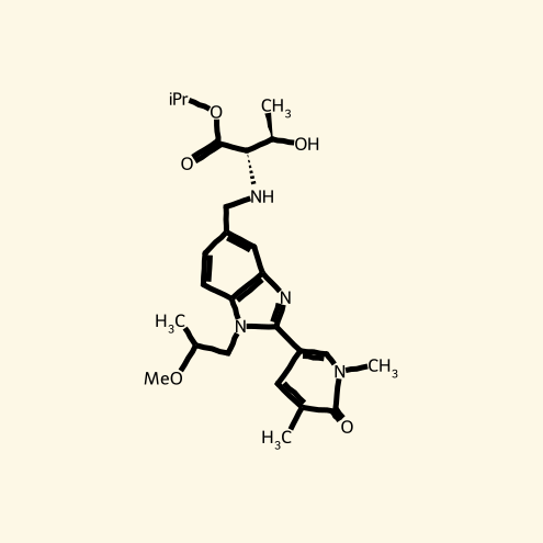 COC(C)Cn1c(-c2cc(C)c(=O)n(C)c2)nc2cc(CN[C@H](C(=O)OC(C)C)[C@@H](C)O)ccc21